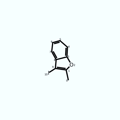 Cc1oc2ccccc2c1I